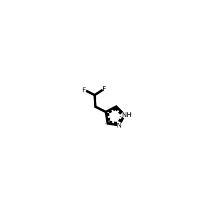 FC(F)Cc1[c]n[nH]c1